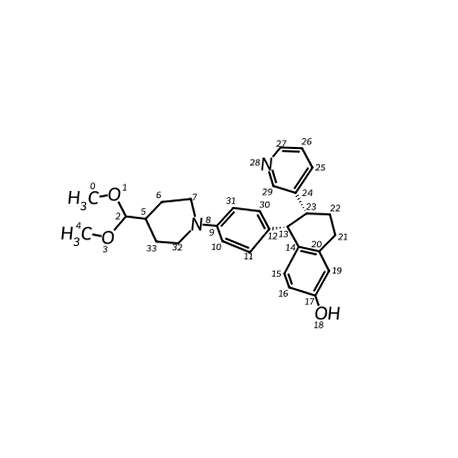 COC(OC)C1CCN(c2ccc([C@H]3c4ccc(O)cc4CC[C@H]3c3cccnc3)cc2)CC1